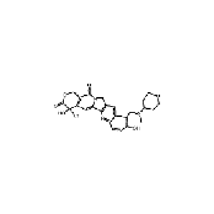 CCC1(O)C(=O)OCc2c1cc1n(c2=O)Cc2cc3c(CN(C)C4CCOCC4)c(O)ccc3nc2-1